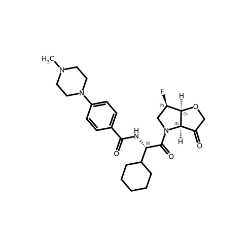 CN1CCN(c2ccc(C(=O)N[C@H](C(=O)N3C[C@@H](F)[C@H]4OCC(=O)[C@H]43)C3CCCCC3)cc2)CC1